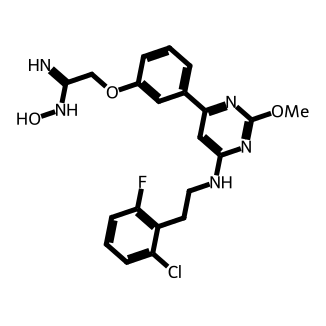 COc1nc(NCCc2c(F)cccc2Cl)cc(-c2cccc(OCC(=N)NO)c2)n1